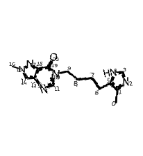 Cc1nc[nH]c1CCCCn1cnc2cn(C)nc2c1=O